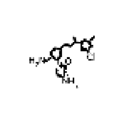 Cc1cc(Cl)cc(C(C)/C=C/c2ccc(CN)c(-n3ccc(N)nc3=O)c2)c1